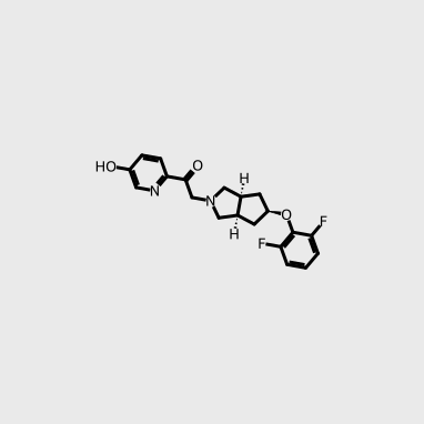 O=C(CN1C[C@H]2C[C@@H](Oc3c(F)cccc3F)C[C@H]2C1)c1ccc(O)cn1